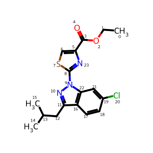 CCOC(=O)c1csc(-n2nc(CC(C)C)c3ccc(Cl)cc32)n1